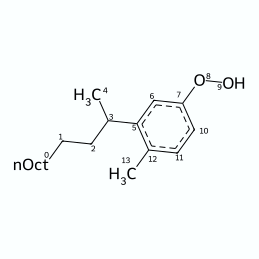 CCCCCCCCCCC(C)c1cc(OO)ccc1C